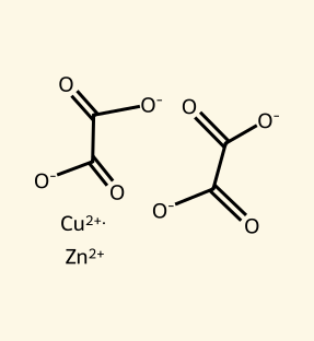 O=C([O-])C(=O)[O-].O=C([O-])C(=O)[O-].[Cu+2].[Zn+2]